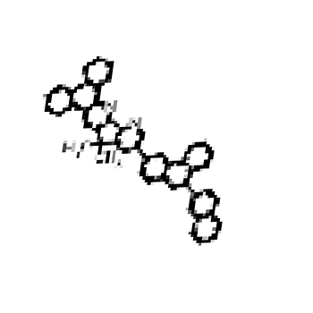 CC1(C)c2cc(-c3ccc4cc(-c5ccc6ccccc6c5)c5ccccc5c4c3)cnc2-c2nc3c4ccccc4c4ccccc4c3cc21